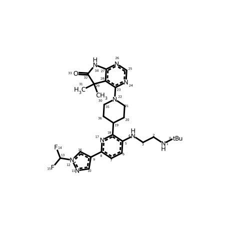 CC(C)(C)NCCNc1ccc(-c2cnn(C(F)F)c2)nc1C1CCN(c2ncnc3c2C(C)(C)C(=O)N3)CC1